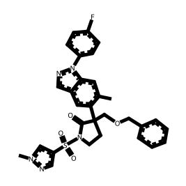 Cc1cc2c(cnn2-c2ccc(F)cc2)cc1C1(COCc2ccccc2)CCN(S(=O)(=O)c2cnn(C)c2)C1=O